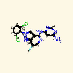 Nc1cc(Nc2ncc(F)c3nn(-c4c(Cl)cccc4Cl)cc23)ncn1